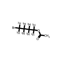 [2H]C([2H])(Br)C([2H])([2H])C([2H])([2H])C([2H])([2H])OC(C)=O